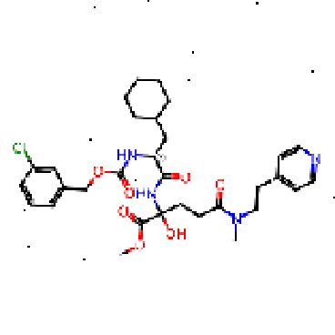 COC(=O)C(O)(CCC(=O)N(C)CCc1ccncc1)NC(=O)[C@H](CC1CCCCC1)NC(=O)OCc1cccc(Cl)c1